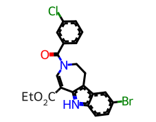 CCOC(=O)C1=CN(C(=O)c2cccc(Cl)c2)CCc2c1[nH]c1ccc(Br)cc21